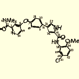 CNC(=O)c1cc(Oc2ccc(-c3c[nH]c(C(=O)Nc4cc(Cl)ccc4OC)c3)cc2)ccn1